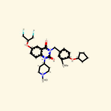 COc1cc(Cn2c(=O)c3cc(OC(CF)CF)ccc3n(C3CCN(C=O)CC3)c2=O)ccc1OC1CCCC1